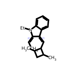 C/C=c1\c(=C/C2C(C)CC2C)c2ccccc2n1CC